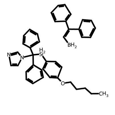 BC=C(c1ccccc1)c1ccccc1.CCCCCOc1ccc([SiH2]C(c2ccccc2)(c2ccccc2)n2ccnc2)cc1